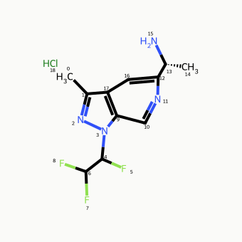 Cc1nn(C(F)C(F)F)c2cnc([C@@H](C)N)cc12.Cl